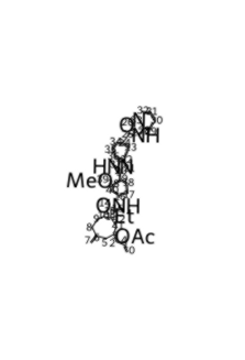 C=CC[C@@]1(OC(C)=O)CC(=C)CCCC(CC)(C(=O)Nc2ccc(-c3nc4cc(C(=O)Nc5ccccn5)ccc4[nH]3)c(OC)c2)C1